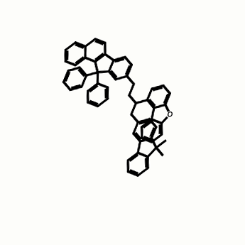 CC1(C)c2ccccc2-c2cc(CC(CCc3ccc4c(c3)C(c3ccccc3)(c3ccccc3)c3c-4ccc4ccccc34)c3cccc4oc5ccccc5c34)ccc21